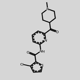 CN1CCC(C(=O)c2cccc(NC(=O)c3sccc3Cl)n2)CC1